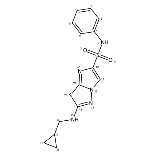 O=S(=O)(Nc1ccccc1)c1cn2nc(NCC3CC3)sc2n1